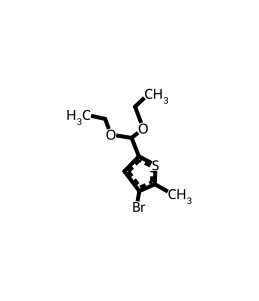 CCOC(OCC)c1cc(Br)c(C)s1